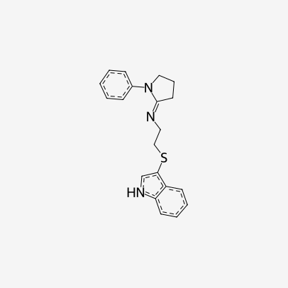 c1ccc(N2CCCC2=NCCSc2c[nH]c3ccccc23)cc1